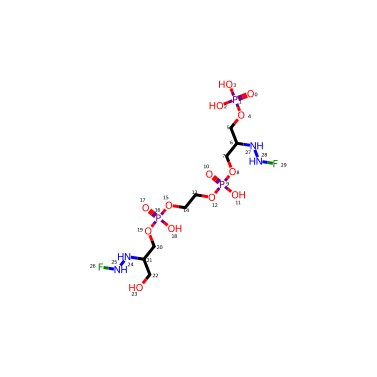 O=P(O)(O)OCC(COP(=O)(O)OCCOP(=O)(O)OCC(CO)NNF)NNF